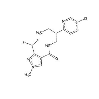 CCC(CNC(=O)c1cn(C)nc1C(F)F)c1ccc(Cl)cn1